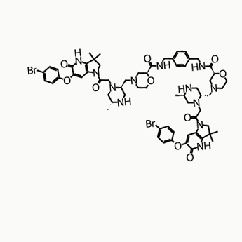 C[C@@H]1CN(CC(=O)N2CC(C)(C)c3[nH]c(=O)c(Oc4ccc(Br)cc4)cc32)[C@@H](CN2CCO[C@H](C(=O)NCc3ccc(CNC(=O)[C@@H]4CN(C[C@H]5CN[C@H](C)CN5CC(=O)N5CC(C)(C)c6[nH]c(=O)c(Oc7ccc(Br)cc7)cc65)CCO4)cc3)C2)CN1